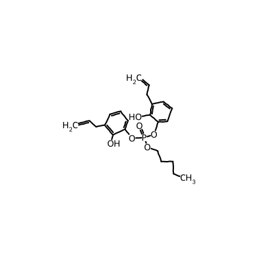 C=CCc1cccc(OP(=O)(OCCCCC)Oc2cccc(CC=C)c2O)c1O